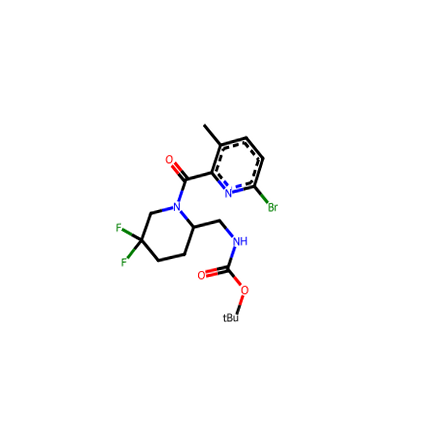 Cc1ccc(Br)nc1C(=O)N1CC(F)(F)CCC1CNC(=O)OC(C)(C)C